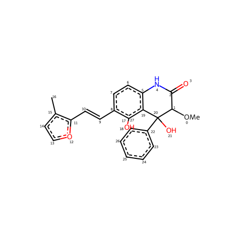 COC1C(=O)Nc2ccc(/C=C/c3occc3C)c(O)c2C1(O)c1ccccc1